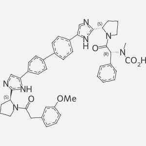 COc1cccc(CC(=O)N2CCC[C@H]2c2ncc(-c3ccc(-c4ccc(-c5cnc([C@@H]6CCCN6C(=O)[C@@H](c6ccccc6)N(C)C(=O)O)[nH]5)cc4)cc3)[nH]2)c1